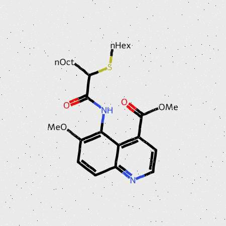 CCCCCCCCC(SCCCCCC)C(=O)Nc1c(OC)ccc2nccc(C(=O)OC)c12